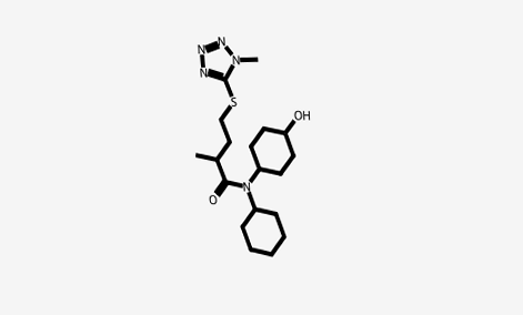 CC(CCSc1nnnn1C)C(=O)N(C1CCCCC1)C1CCC(O)CC1